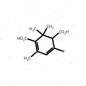 CC1=C(C(=O)O)C(C)(C)C(C(=O)O)C(F)=C1